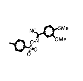 COc1cc(C(C#N)=NOS(=O)(=O)c2ccc(C)cc2)ccc1SC